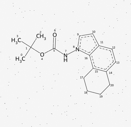 CC(C)(C)OC(=O)Nn1ccc2ccc3c(c21)CCCC3